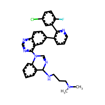 CN(C)CCCNC1N=CN(c2ncnc3ccc(-c4cccnc4-c4cc(Cl)ccc4F)cc23)c2ccccc21